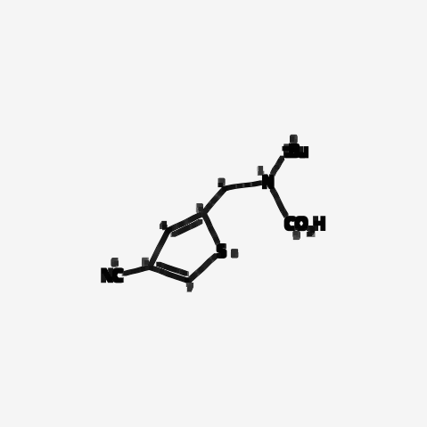 CC(C)(C)N(Cc1cc(C#N)cs1)C(=O)O